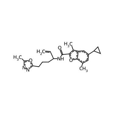 C=CC(CCCc1nnc(C)o1)NC(=O)c1oc2c(C)cc(C3CC3)cc2c1C